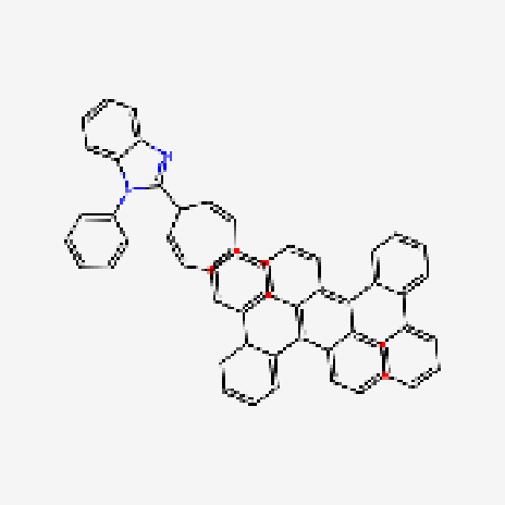 C1=CCC(c2ccccc2)C(c2c3ccccc3c(-c3ccccc3-c3ccccc3)c3ccc(C4=CC=CC(c5nc6ccccc6n5-c5ccccc5)C=C4)cc23)=C1